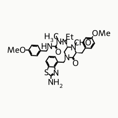 CCN([C@H]1CN(Cc2cccc3sc(N)nc23)C(=O)[C@H](Cc2ccc(OC)cc2)N1C=O)N(C)C(=O)NCc1ccc(OC)cc1